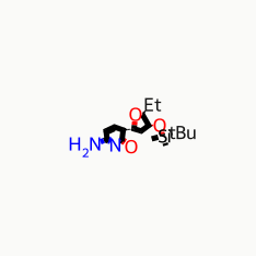 CC[C@H]1O[C@@H](C2C=CC(N)=NC2=O)C[C@H]1O[Si](C)(C)C(C)(C)C